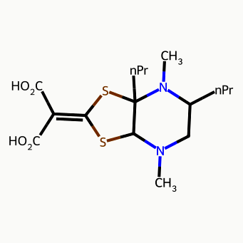 CCCC1CN(C)C2SC(=C(C(=O)O)C(=O)O)SC2(CCC)N1C